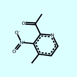 CC(=O)c1nccc(C)c1[N+](=O)[O-]